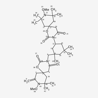 C=C1CC2(CC(=O)N(CC3(C)CC(N4C(=O)CC5(CC(C)(C)N(OC)C(C)(C)C5)OC4=O)CC(C)(C)C3)C(=O)O2)CC(C)(C)N1OC